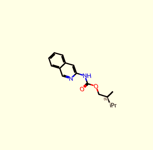 CC(C)[C@H](C)COC(=O)Nc1cc2ccccc2cn1